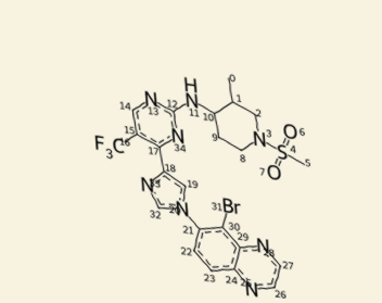 CC1CN(S(C)(=O)=O)CCC1Nc1ncc(C(F)(F)F)c(-c2cn(-c3ccc4nccnc4c3Br)cn2)n1